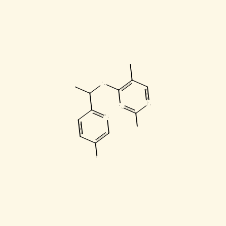 Cc1cnc(Cl)nc1NC(C)c1ccc(F)cn1